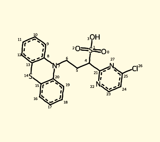 O=S(=O)(O)C(CCN1c2ccccc2Sc2ccccc21)c1nccc(Cl)n1